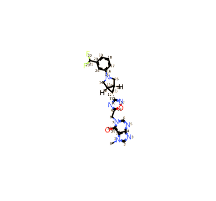 Cn1cnc2ncn(Cc3nc([C@@H]4[C@@H]5CN(c6cccc(C(F)F)c6)C[C@@H]54)no3)c(=O)c21